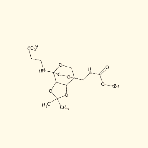 CC(C)(C)OC(=O)NCC12COC(NCCC(=O)O)(CO1)C1OC(C)(C)OC12